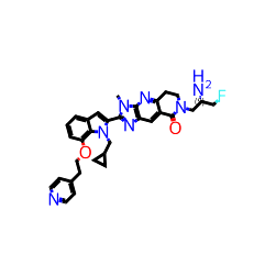 Cn1c(-c2cc3cccc(OCCc4ccncc4)c3n2CC2CC2)nc2cc3c(nc21)CCN(C[C@H](N)CF)C3=O